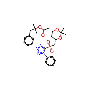 CC(C)(Cc1ccccc1)OC(=O)C[C@H]1C[C@@H](CS(=O)(=O)c2nnnn2-c2ccccc2)OC(C)(C)O1